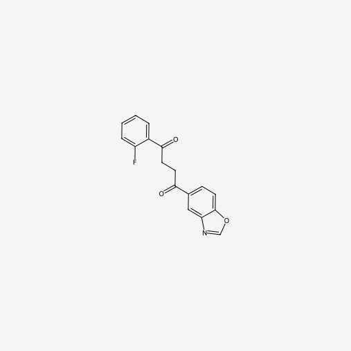 O=C(CCC(=O)c1ccccc1F)c1ccc2ocnc2c1